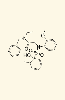 CCN(Cc1ccccc1)C(=O)CN(c1ccccc1OC)S(=O)(=O)C1(O)C=CC=CC1C